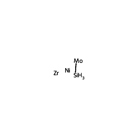 [Ni].[SiH3][Mo].[Zr]